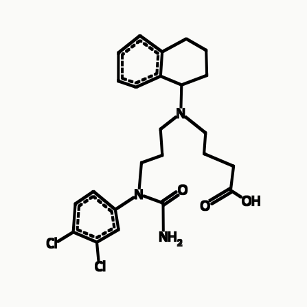 NC(=O)N(CCCN(CCCC(=O)O)C1CCCc2ccccc21)c1ccc(Cl)c(Cl)c1